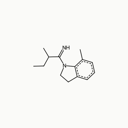 CCC(C)C(=N)N1CCc2cccc(C)c21